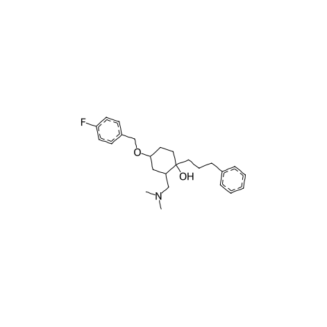 CN(C)CC1CC(OCc2ccc(F)cc2)CCC1(O)CCCc1ccccc1